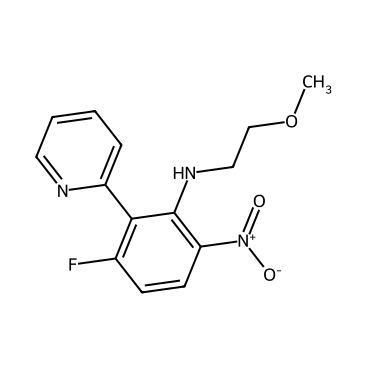 COCCNc1c([N+](=O)[O-])ccc(F)c1-c1ccccn1